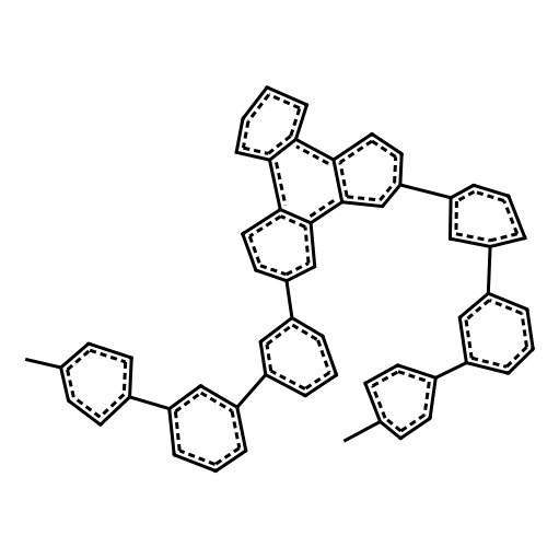 Cc1ccc(-c2cccc(-c3cccc(-c4ccc5c6ccccc6c6ccc(-c7cccc(-c8cccc(-c9ccc(C)cc9)c8)c7)cc6c5c4)c3)c2)cc1